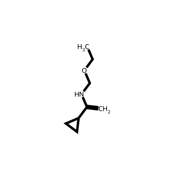 C=C(NCOCC)C1CC1